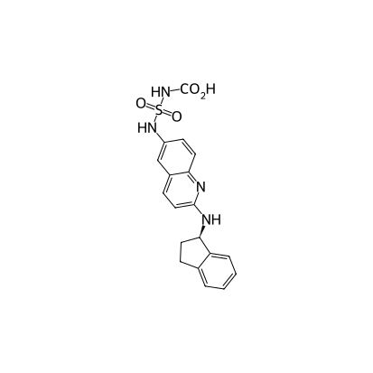 O=C(O)NS(=O)(=O)Nc1ccc2nc(N[C@@H]3CCc4ccccc43)ccc2c1